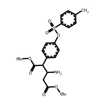 Cc1ccc(S(=O)(=O)Oc2ccc(C(C(=O)OC(C)(C)C)C(N)CC(=O)OC(C)(C)C)cc2)cc1